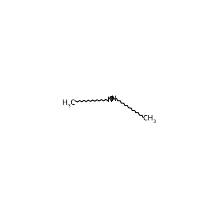 CCCCCCCCCCCCCCCCCN1C=CN(CCCCCCCCCCCCCCCCC)C1